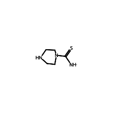 [NH]C(=S)N1CCNCC1